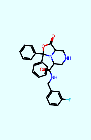 O=C(NCc1cccc(F)c1)C1CNCC2C(=O)OC(c3ccccc3)(c3ccccc3)N12